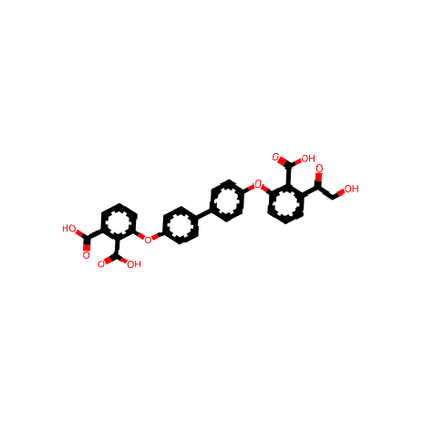 O=C(O)c1cccc(Oc2ccc(-c3ccc(Oc4cccc(C(=O)CO)c4C(=O)O)cc3)cc2)c1C(=O)O